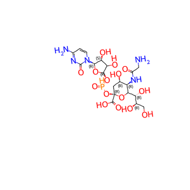 NCC(=O)N[C@H]1C([C@H](O)[C@H](O)CO)O[C@](O[PH](=O)O[C@H]2O[C@@H](n3ccc(N)nc3=O)[C@@H](O)C2O)(C(=O)O)C[C@H]1O